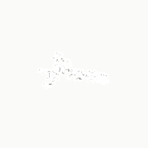 COC1(C(=O)O)CCN(c2cnc(C(=O)Nc3nc(-c4cc(C)cc(OC(F)(F)F)c4)c(CN4CCC[C@H]4C)s3)cn2)CC1